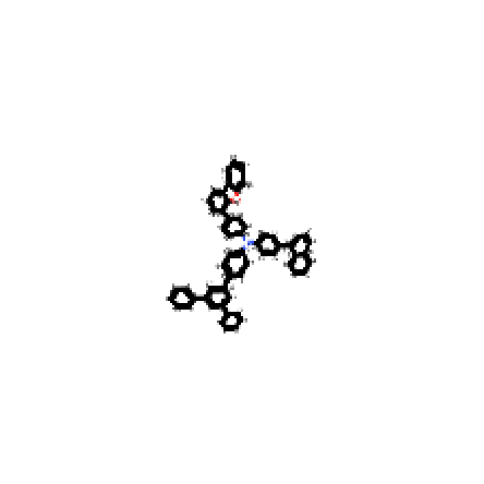 c1ccc(-c2cc(-c3ccccc3)cc(-c3ccc(N(c4ccc(-c5cccc6ccccc56)cc4)c4ccc(-c5cccc6c5oc5ccccc56)cc4)cc3)c2)cc1